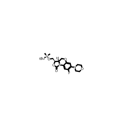 CC(C)(C)[Si](C)(C)OC[C@@H]1OC(=O)N2c3cc(F)c(N4CCOCC4)cc3OC[C@@H]12